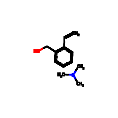 C=Cc1ccccc1CO.CN(C)C